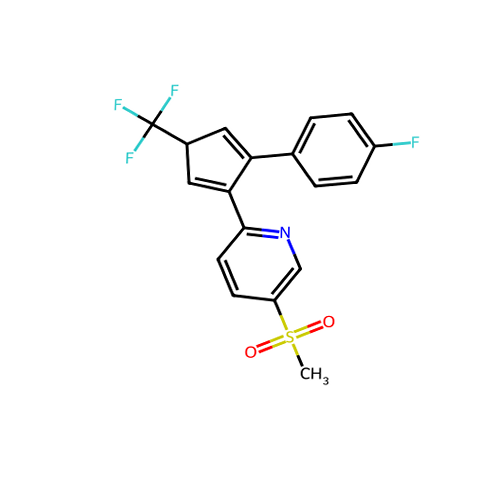 CS(=O)(=O)c1ccc(C2=CC(C(F)(F)F)C=C2c2ccc(F)cc2)nc1